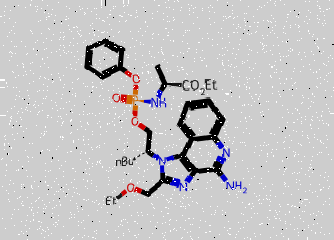 CCCC[C@H](CO[P@@](=O)(N[C@@H](C)C(=O)OCC)Oc1ccccc1)n1c(COCC)nc2c(N)nc3ccccc3c21